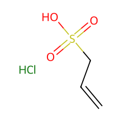 C=CCS(=O)(=O)O.Cl